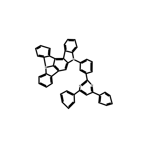 c1ccc(-c2cc(-c3ccccc3)nc(-c3cccc(-n4c5ccccc5c5c6c7ccccc7n7c8ccccc8c(cc54)c67)c3)n2)cc1